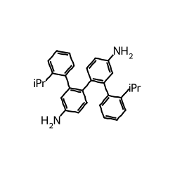 CC(C)c1ccccc1-c1cc(N)ccc1-c1ccc(N)cc1-c1ccccc1C(C)C